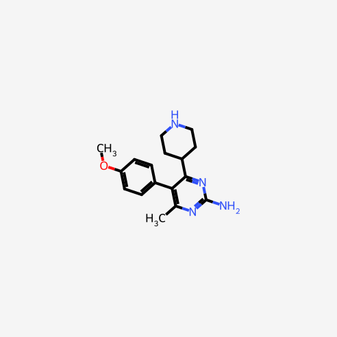 COc1ccc(-c2c(C)nc(N)nc2C2CCNCC2)cc1